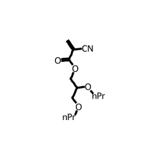 C=C(C#N)C(=O)OCC(COCCC)OCCC